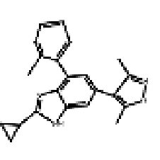 Cc1ccccc1-c1cc(-c2c(C)noc2C)cc2[nH]c(C3CC3)nc12